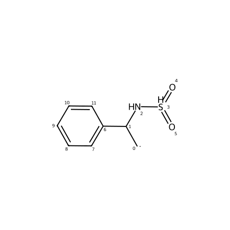 [CH2]C(N[SH](=O)=O)c1ccccc1